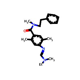 CCN(C)C=Nc1cc(C)c(C(=O)N(C)CCc2ccccc2)cc1C